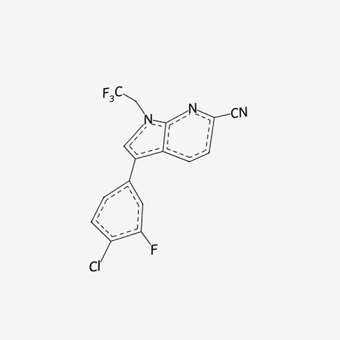 N#Cc1ccc2c(-c3ccc(Cl)c(F)c3)cn(CC(F)(F)F)c2n1